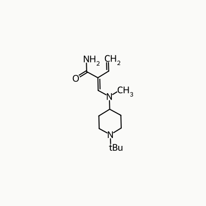 C=C/C(=C\N(C)C1CCN(C(C)(C)C)CC1)C(N)=O